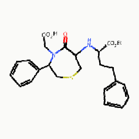 CCOC(=O)[C@@H](CCc1ccccc1)NC1CSCC(c2ccccc2)N(CC(=O)O)C1=O